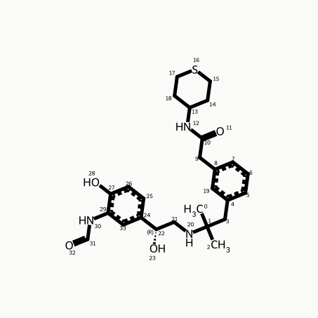 CC(C)(Cc1cccc(CC(=O)NC2CCSCC2)c1)NC[C@H](O)c1ccc(O)c(NC=O)c1